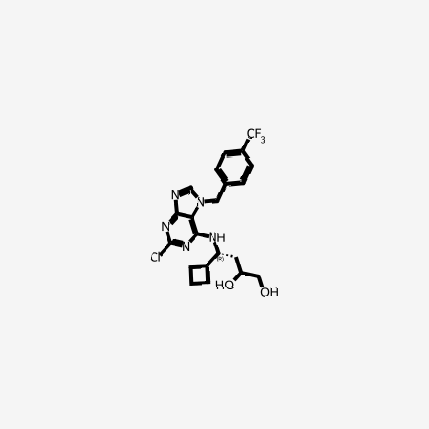 OCC(O)C[C@@H](Nc1nc(Cl)nc2ncn(Cc3ccc(C(F)(F)F)cc3)c12)C1CCC1